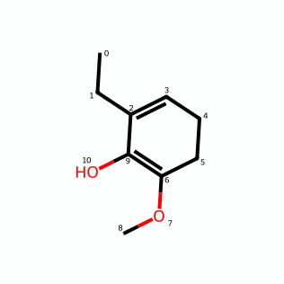 CCC1=CCCC(OC)=C1O